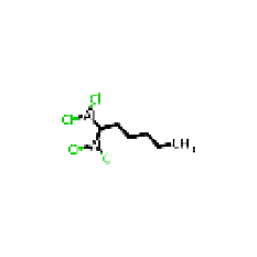 CCCCC[CH]([Al]([Cl])[Cl])[Al]([Cl])[Cl]